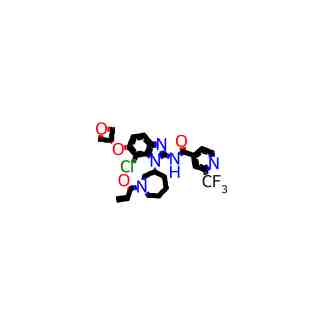 C=CC(=O)N1CCCC[C@@H](n2c(NC(=O)c3ccnc(C(F)(F)F)c3)nc3ccc(OC4COC4)c(Cl)c32)C1